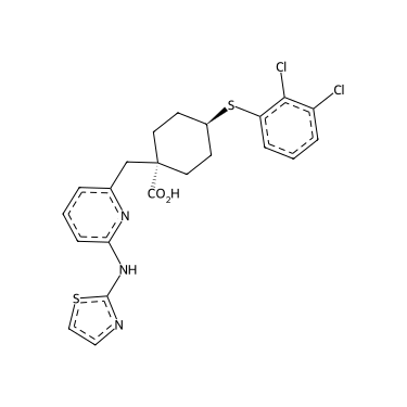 O=C(O)[C@]1(Cc2cccc(Nc3nccs3)n2)CC[C@@H](Sc2cccc(Cl)c2Cl)CC1